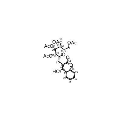 CC(=O)OC[C@H]1O[C@@H](Sc2c(O)c3ccccc3oc2=O)[C@H](OC(C)=O)[C@H](OC(C)=O)[C@H]1OC(C)=O